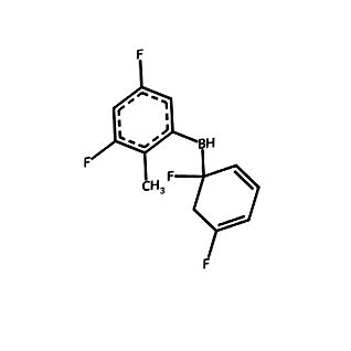 Cc1c(F)cc(F)cc1BC1(F)C=CC=C(F)C1